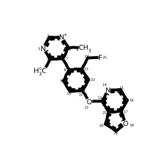 Cc1ncnc(C)c1-c1ccc(Oc2nccc3occc23)cc1CF